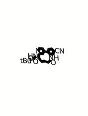 CC(C)(C)OC(=O)N[C@H]1C/C=C/CC(=O)Nc2cc(C#N)ccc2-c2ccnc1c2